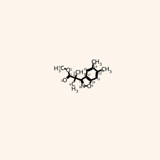 COC(=O)C(C)(C)c1noc2cc(C)c(C)cc12